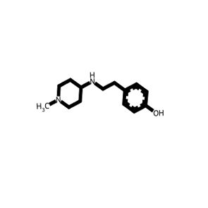 CN1CCC(NCCc2ccc(O)cc2)CC1